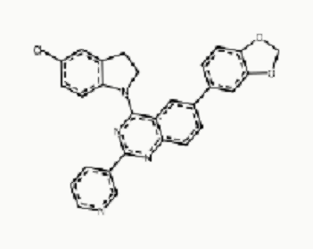 Clc1ccc2c(c1)CCN2c1nc(-c2cccnc2)nc2ccc(-c3ccc4c(c3)OCO4)cc12